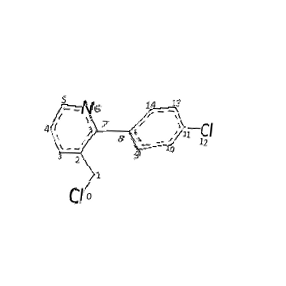 ClCc1cccnc1-c1ccc(Cl)cc1